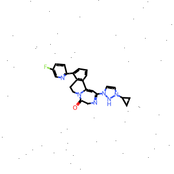 O=C1CN=C(N2C=CN(C3CC3)N2)C=C2c3cccc(-c4ccc(F)cn4)c3CCN12